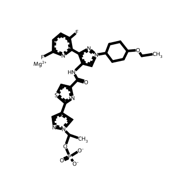 CCOC1CCC(n2cc(NC(=O)c3csc(-c4cnn(C(C)OP(=O)([O-])[O-])c4)n3)c(-c3nc(F)ccc3F)n2)CC1.[Mg+2]